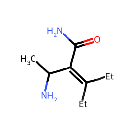 CCC(CC)=C(C(N)=O)C(C)N